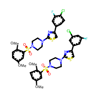 COc1ccc(OC)c(S(=O)(=O)N2CCN(c3nc(-c4cc(F)cc(Cl)c4)cs3)CC2)c1.COc1ccc(OC)c(S(=O)(=O)N2CCN(c3nc(-c4ccc(Cl)c(F)c4)cs3)CC2)c1